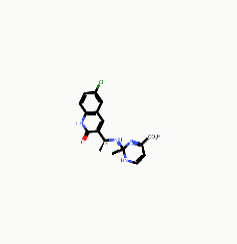 C[C@H](NC1(C)N=C(C(=O)O)C=CN1)c1cc2cc(Cl)ccc2[nH]c1=O